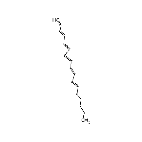 [CH]=CC=CC=CC=CC=CC=CCCCCC